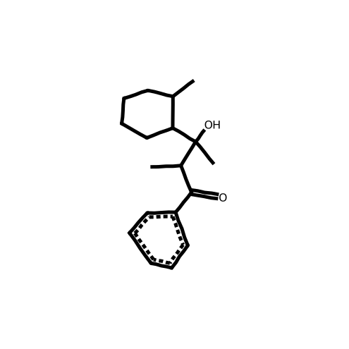 CC1CCCCC1C(C)(O)C(C)C(=O)c1ccccc1